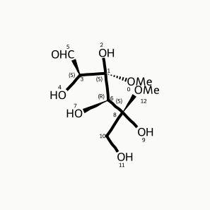 CO[C@@](O)([C@@H](O)C=O)[C@H](O)[C@](O)(CO)OC